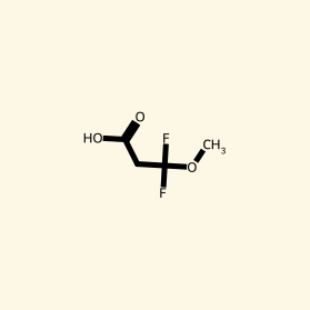 COC(F)(F)CC(=O)O